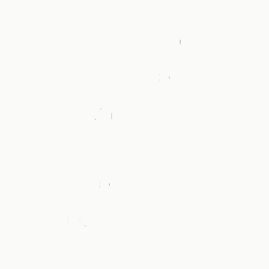 CO[CH2][Zn][CH2]OC